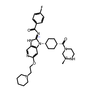 C[C@H]1CN(C(=O)[C@H]2CC[C@@H](n3/c(=N/C(=O)c4ccc(F)cc4)[nH]c4cnc(OCCN5CCCCC5)cc43)CC2)CCN1